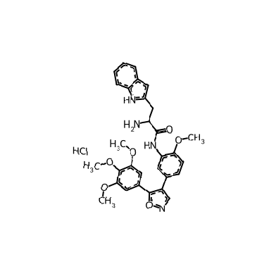 COc1ccc(-c2cnoc2-c2cc(OC)c(OC)c(OC)c2)cc1NC(=O)C(N)Cc1cc2ccccc2[nH]1.Cl